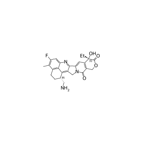 CC[C@@]1(O)C(=O)OCc2c1cc1n(c2=O)Cc2c-1nc1cc(F)c(C)c3c1c2[C@H](CN)CC3